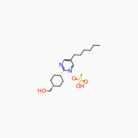 CCCCCCc1cnc([C@H]2CC[C@H](CO)CC2)nc1.CS(=O)(=O)O